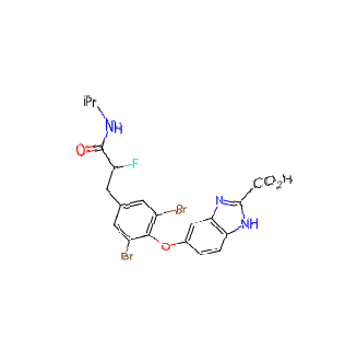 CC(C)NC(=O)C(F)Cc1cc(Br)c(Oc2ccc3[nH]c(C(=O)O)nc3c2)c(Br)c1